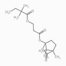 CCC(C)(C)C(=O)OCCC(=O)OC12CCC(C)(C(=O)O1)C2(C)C